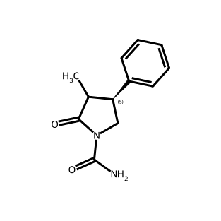 CC1C(=O)N(C(N)=O)C[C@@H]1c1ccccc1